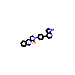 O=C1N(c2ccc(-c3ccnc4[nH]ccc34)cc2)CCC12Cc1ccccc1CN2